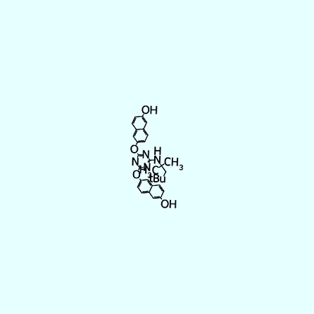 CC(C)(C)CC(C)(C)Nc1nc(Oc2ccc3cc(O)ccc3c2)nc(Oc2ccc3cc(O)ccc3c2)n1